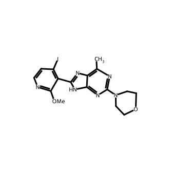 COc1nccc(I)c1-c1nc2c(C)nc(N3CCOCC3)nc2[nH]1